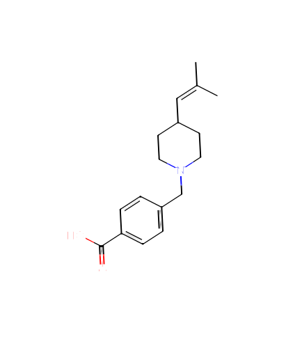 CC(C)=CC1CCN(Cc2ccc(C(=O)O)cc2)CC1